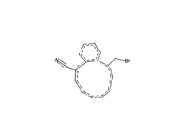 N#Cc1ccccccc(CBr)c2ccccc12